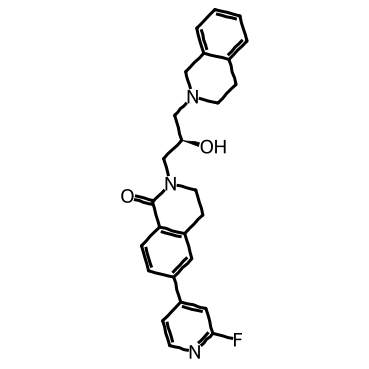 O=C1c2ccc(-c3ccnc(F)c3)cc2CCN1C[C@H](O)CN1CCc2ccccc2C1